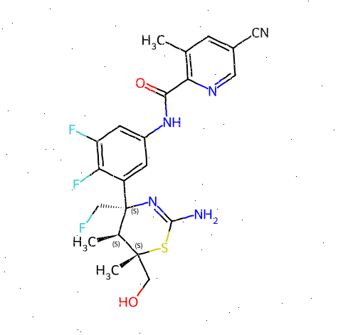 Cc1cc(C#N)cnc1C(=O)Nc1cc(F)c(F)c([C@@]2(CF)N=C(N)S[C@](C)(CO)[C@H]2C)c1